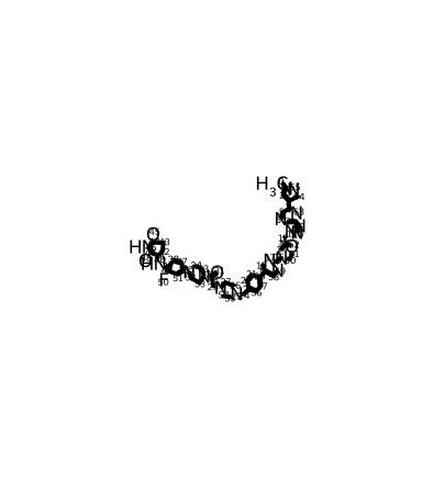 Cn1cc(-c2cnc3c(nnn3C[C@@H]3CN(c4ncc(-c5ccc(CN6CCN(CC(=O)N7CCN(c8ccc(NC9CCC(=O)NC9=O)c(F)c8)CC7)CC6)cc5)cn4)CCO3)n2)cn1